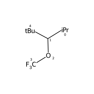 CC(C)C(OC(F)(F)F)C(C)(C)C